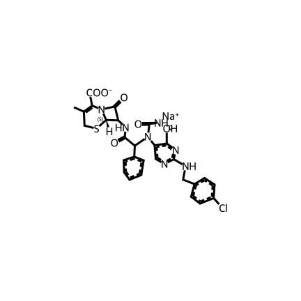 CC1=C(C(=O)[O-])N2C(=O)C(NC(=O)C(c3ccccc3)N(C(N)=O)c3cnc(NCc4ccc(Cl)cc4)nc3O)[C@@H]2SC1.[Na+]